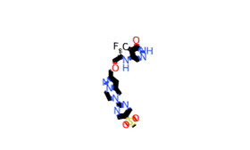 C[C@@H](COCc1cc2n(n1)CCN(c1ncc(S(C)(=O)=O)cn1)C2)Nc1cn[nH]c(=O)c1C(F)(F)F